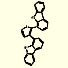 c1ccc2c(c1)[nH]c1c(-c3ccsc3-c3cccc4c3[nH]c3ccccc34)cccc12